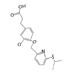 CC(C)Sc1cccc(COc2ccc(CCC(=O)O)cc2Cl)n1